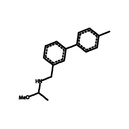 COC(C)NCc1cccc(-c2ccc(C)cc2)c1